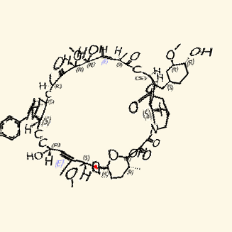 CO[C@H]1C[C@@H]2CC[C@@H](C)[C@@](O)(O2)C(=O)C(=O)N2CCCC3[C@H]2C(=O)O[C@@H](CC(=O)[C@H](C)/C=C(\C)[C@@H](O)[C@@H](OC)C(=O)[C@H](C)C[C@H](C)[C@@H](Nc2ccccc2)CC[C@@H](O)/C=C/1C)[C@H]3C[C@@H]1CC[C@@H](O)[C@H](OC)C1